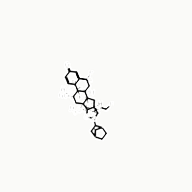 C[C@]12C[C@H](O)[C@@]3(F)[C@@H](C[C@H](F)C4=CC(=O)C=C[C@@]43C)[C@]1(C)C[C@H]1CN(C3CC4CCC3C4)O[C@]12C(=O)SCF